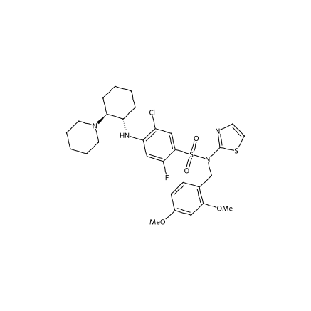 COc1ccc(CN(c2nccs2)S(=O)(=O)c2cc(Cl)c(N[C@H]3CCCC[C@@H]3N3CCCCC3)cc2F)c(OC)c1